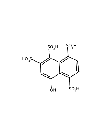 O=S(=O)(O)c1cc(O)c2c(S(=O)(=O)O)[c]cc(S(=O)(=O)O)c2c1S(=O)(=O)O